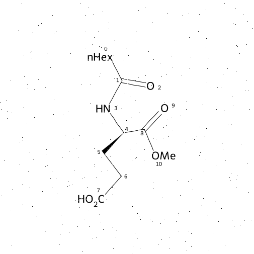 CCCCCCC(=O)N[C@H](CCC(=O)O)C(=O)OC